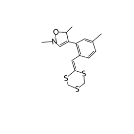 Cc1ccc(C=C2SCSCS2)c(C2=CN(C)OC2C)c1